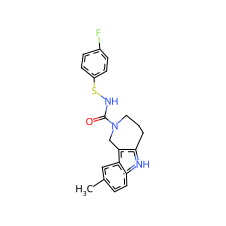 Cc1ccc2[nH]c3c(c2c1)CN(C(=O)NSc1ccc(F)cc1)CCC3